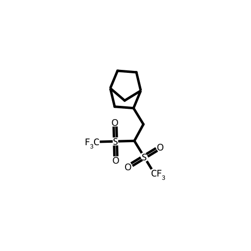 O=S(=O)(C(CC1CC2CCC1C2)S(=O)(=O)C(F)(F)F)C(F)(F)F